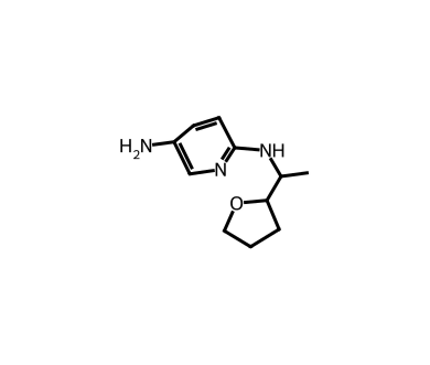 CC(Nc1ccc(N)cn1)C1CCCO1